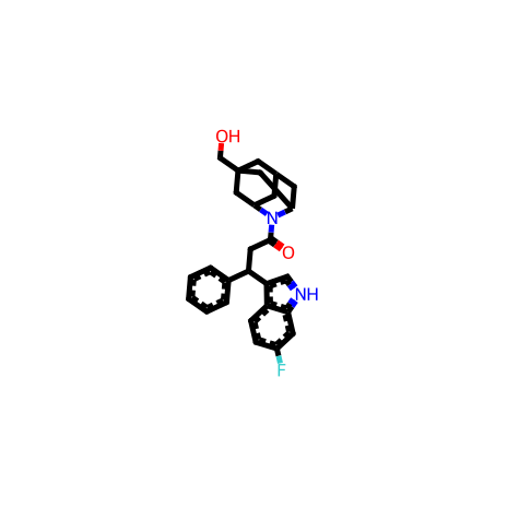 O=C(CC(c1ccccc1)c1c[nH]c2cc(F)ccc12)N1C2CC3CC1CC(CO)(C3)C2